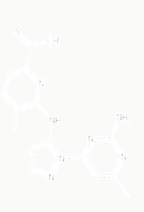 Cc1cc(-n2nccc2Nc2nc(C(=O)O)ccc2C)nc(N)n1